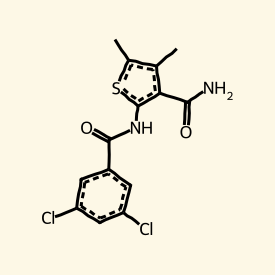 Cc1sc(NC(=O)c2cc(Cl)cc(Cl)c2)c(C(N)=O)c1C